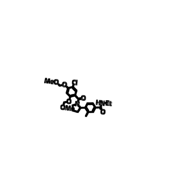 CCNC(=O)c1ccc(C2CCCN2C(=O)c2cc(Cl)c(OCOC)cc2OCOC)c(C)c1